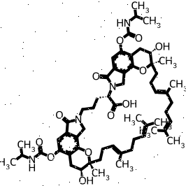 CC(C)=CCC/C(C)=C/CC[C@@]1(C)Oc2c(c(OC(=O)NC(C)C)cc3c2CN(CCC[C@@H](C(=O)O)N2Cc4c(cc(OC(=O)NC(C)C)c5c4O[C@](C)(CC/C=C(\C)CCC=C(C)C)[C@@H](O)C5)C2=O)C3=O)C[C@@H]1O